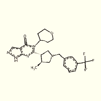 C[C@@H]1CN(Cc2cccc(C(F)(F)F)c2)C[C@H]1c1nc2[nH]ncc2c(=O)n1C1CCOCC1